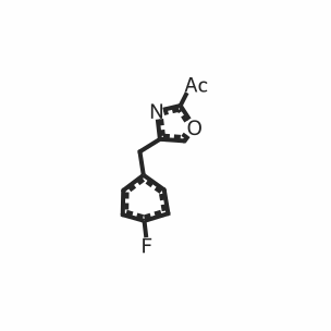 CC(=O)c1nc(Cc2ccc(F)cc2)co1